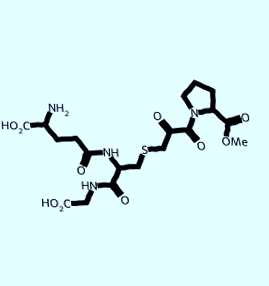 COC(=O)C1CCCN1C(=O)C(=O)CSCC(NC(=O)CCC(N)C(=O)O)C(=O)NCC(=O)O